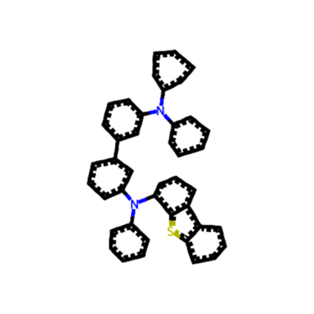 c1ccc(N(c2ccccc2)c2cccc(-c3cccc(N(c4ccccc4)c4cccc5c4sc4ccccc45)c3)c2)cc1